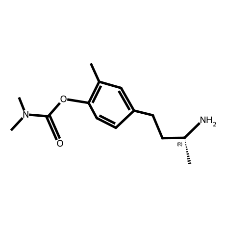 Cc1cc(CC[C@@H](C)N)ccc1OC(=O)N(C)C